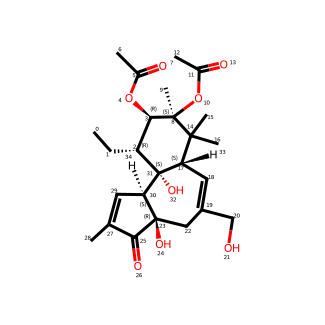 CC[C@@H]1[C@@H](OC(C)=O)[C@@](C)(OC(C)=O)C(C)(C)[C@@H]2C=C(CO)C[C@]3(O)C(=O)C(C)=C[C@H]3[C@@]12O